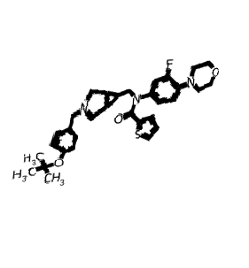 CC(C)(C)Oc1ccc(CN2CC3C(C2)C3CN(C(=O)c2cccs2)c2ccc(N3CCOCC3)c(F)c2)cc1